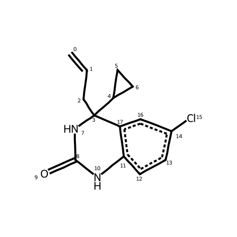 C=CCC1(C2CC2)NC(=O)Nc2ccc(Cl)cc21